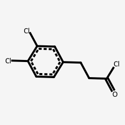 O=C(Cl)CCc1ccc(Cl)c(Cl)c1